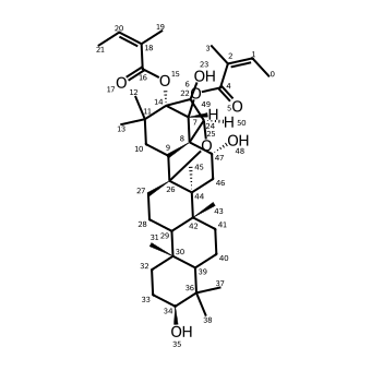 C/C=C(/C)C(=O)O[C@@H]1[C@]23C4CC(C)(C)[C@@]1(OC(=O)/C(C)=C\C)C(O)[C@H]2O[C@@]41CCC2[C@@]4(C)CC[C@H](O)C(C)(C)C4CC[C@@]2(C)[C@]1(C)C[C@H]3O